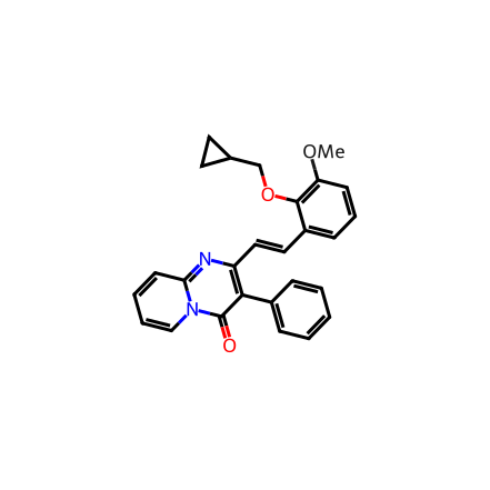 COc1cccc(C=Cc2nc3ccccn3c(=O)c2-c2ccccc2)c1OCC1CC1